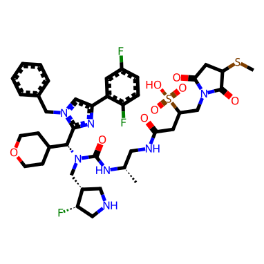 CSC1CC(=O)N(CC(CC(=O)NC[C@H](C)NC(=O)N(C[C@@H]2CNC[C@@H]2F)[C@@H](c2nc(-c3cc(F)ccc3F)cn2Cc2ccccc2)C2CCOCC2)S(=O)(=O)O)C1=O